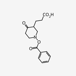 O=C(O)CCC1CN(OC(=O)c2ccccc2)CCC1=O